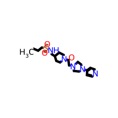 CCCCS(=O)(=O)NCC1CCN(C(=O)CN2CCN(c3ccncc3)CC2)CC1